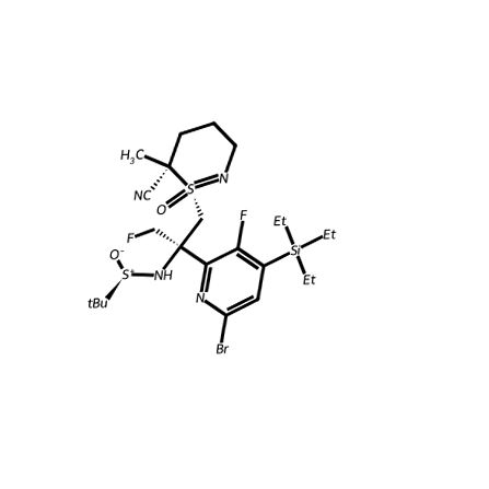 CC[Si](CC)(CC)c1cc(Br)nc([C@](CF)(C[S@@]2(=O)=NCCC[C@@]2(C)C#N)N[S@+]([O-])C(C)(C)C)c1F